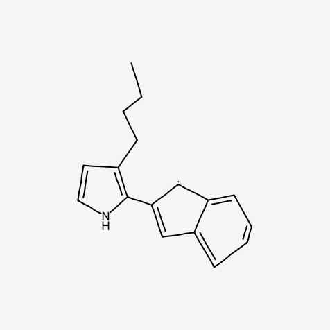 CCCCc1cc[nH]c1C1=Cc2ccccc2[CH]1